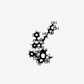 CC(=O)O[C@H]1C(=O)[C@@]2(C)[C@H]([C@H](OC(=O)c3ccccc3)[C@]3(O)C[C@H](OC(=O)[C@H](OC(=O)CCCNC(=O)/C=C(/CC(=O)O)C(=O)O)C(NC(=O)c4ccccc4)c4ccccc4)C(C)=C1C3(C)C)[C@]1(OC(C)=O)CO[C@@H]1C[C@@H]2O